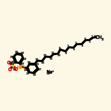 CCCCCCCCCCCCCCCCc1cccc(Pc2ccccc2S(=O)(=O)[O-])c1.[Na+]